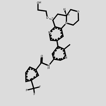 Cc1ncc(NC(=O)c2cccc(C(F)(F)F)c2)cc1-c1cnc2c(c1)N1CCOC[C@H]1C[C@H]2OCCO